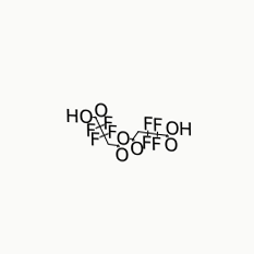 O=C(CC(F)(F)C(F)(F)C(=O)O)OC(=O)CC(F)(F)C(F)(F)C(=O)O